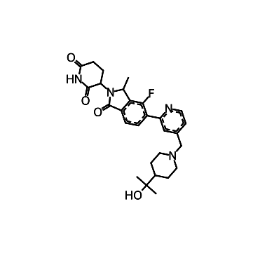 CC1c2c(ccc(-c3cc(CN4CCC(C(C)(C)O)CC4)ccn3)c2F)C(=O)N1C1CCC(=O)NC1=O